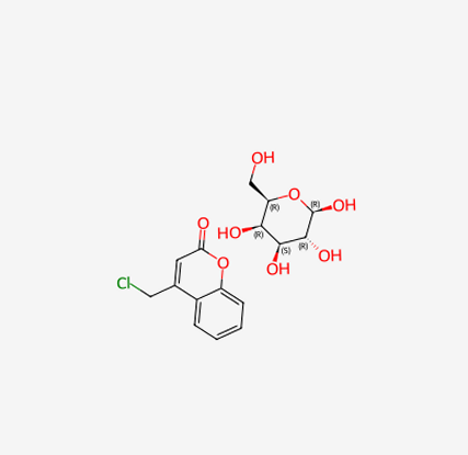 O=c1cc(CCl)c2ccccc2o1.OC[C@H]1O[C@@H](O)[C@H](O)[C@@H](O)[C@H]1O